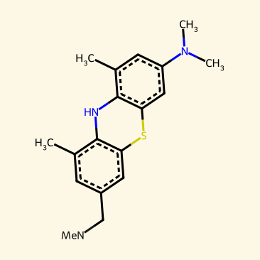 CNCc1cc(C)c2c(c1)Sc1cc(N(C)C)cc(C)c1N2